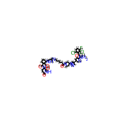 C[C@@H](Oc1cc(-c2cnn(C3CCN(C(=O)CCCCCN4CC(CNc5cccc6c5C(=O)N(C5CCC(=O)NC5=O)C6=O)C4)CC3)c2)cnc1N)c1c(Cl)ccc(F)c1Cl